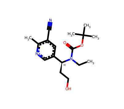 CCN(C(=O)OC(C)(C)C)[C@@H](CCO)c1cnc(C)c(C#N)c1